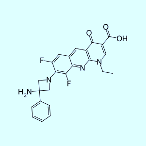 CCn1cc(C(=O)O)c(=O)c2cc3cc(F)c(N4CC(N)(c5ccccc5)C4)c(F)c3nc21